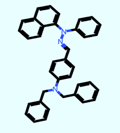 C(=NN(c1ccccc1)c1cccc2ccccc12)c1ccc(N(Cc2ccccc2)Cc2ccccc2)cc1